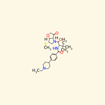 CCN1CCC(c2ccc(C(=O)NC(C(=O)N3C[C@H](SC)[C@H]4OCC(=O)[C@H]43)C(C)(C)C)cc2)CC1